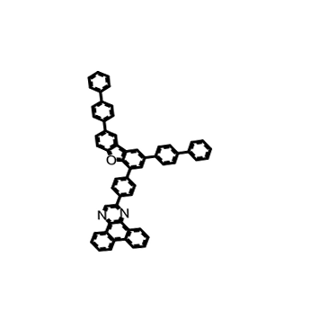 c1ccc(-c2ccc(-c3ccc4oc5c(-c6ccc(-c7cnc8c9ccccc9c9ccccc9c8n7)cc6)cc(-c6ccc(-c7ccccc7)cc6)cc5c4c3)cc2)cc1